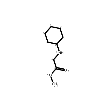 COC(=O)CNC1CCCCC1